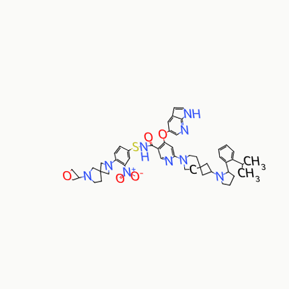 CC(C)c1ccccc1C1CCCN1C1CC2(CCN(c3cc(Oc4cnc5[nH]ccc5c4)c(C(=O)NSc4ccc(N5CC6(CCN(C7COC7)C6)C5)c([N+](=O)[O-])c4)cn3)CC2)C1